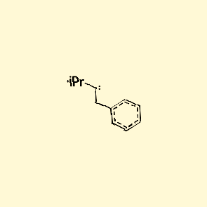 C[C](C)[C]Cc1ccccc1